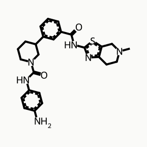 CN1CCc2nc(NC(=O)c3cccc(C4CCCN(C(=O)Nc5ccc(N)cc5)C4)c3)sc2C1